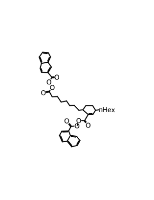 CCCCCCC1C=C(C(=O)OOC(=O)c2cccc3ccccc23)C(CCCCCCCC(=O)OOC(=O)c2ccc3ccccc3c2)CC1